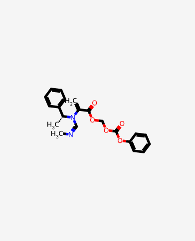 C=C(C(=O)OCOC(=O)Oc1ccccc1)N(/C=N\C)[C@H](C)c1ccccc1